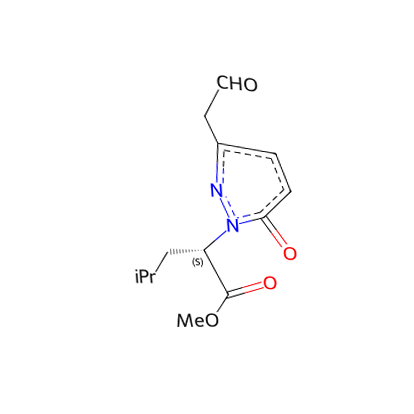 COC(=O)[C@H](CC(C)C)n1nc(CC=O)ccc1=O